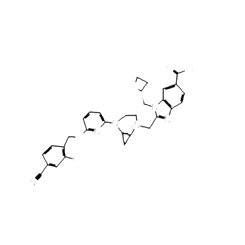 CC(=O)c1ccc2nc(CN3CCN(c4cccc(OCc5ccc(C#N)cc5F)n4)[C@@H]4C[C@@H]43)n(C[C@@H]3CCO3)c2c1